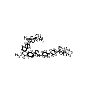 CN(C(=O)c1ccc(C(=O)Nc2ccc(C3=CCN(C(=O)OC(C)(C)C)CC3)cc2)cc1)c1ccc(CNC(=O)OC(C)(C)C)cc1